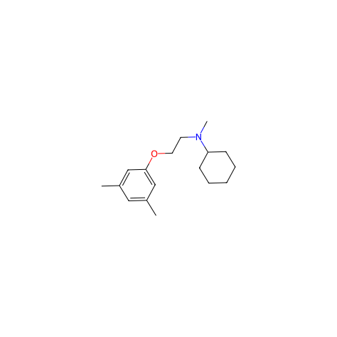 Cc1cc(C)cc(OCCN(C)C2CCCCC2)c1